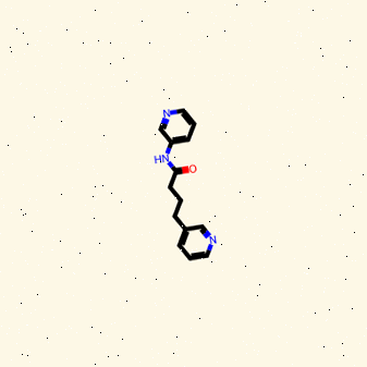 O=C(CCCc1cccnc1)Nc1cccnc1